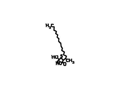 CCCCCCCCCCCCCCCCC(C)C(C(=O)O)C(=S)C(=O)O